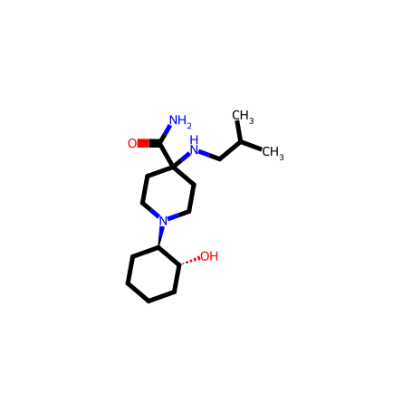 CC(C)CNC1(C(N)=O)CCN([C@@H]2CCCC[C@H]2O)CC1